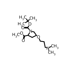 COC(=O)C1CC(OCCCN(C)C)CN1C(=O)OC(C)(C)C